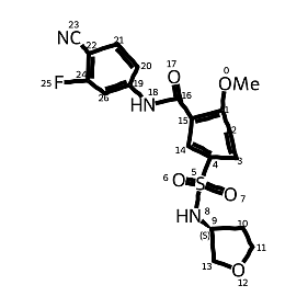 COc1ccc(S(=O)(=O)N[C@H]2CCOC2)cc1C(=O)Nc1ccc(C#N)c(F)c1